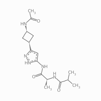 CC(=O)N[C@H]1C[C@@H](c2cc(NC(=O)[C@H](C)NC(=O)C(C)C)[nH]n2)C1